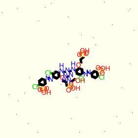 O=S(=O)(O)CCCOc1cc(N=Nc2ccc(Cl)c(S(=O)(=O)O)c2)c(Cl)cc1Nc1nc(NCCO)nc(Nc2cc(Cl)c(N=Nc3ccc(Cl)c(S(=O)(=O)O)c3)cc2OCCCS(=O)(=O)O)n1